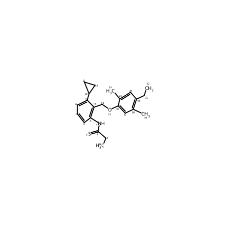 CCC(=S)Nc1cccc(C2CC2)c1COc1cc(C)c(CC)cc1C